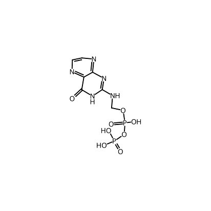 O=c1[nH]c(NCOP(=O)(O)OP(=O)(O)O)nc2nccnc12